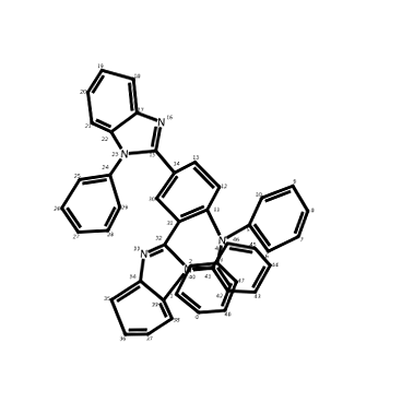 c1ccc(N(c2ccccc2)c2ccc(-c3nc4ccccc4n3-c3ccccc3)cc2-c2nc3ccccc3n2-c2ccccc2)cc1